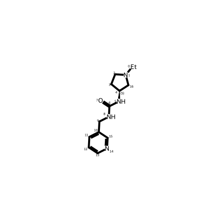 CCN1CC[C@H](NC(=O)NCc2cccnc2)C1